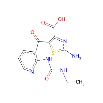 CCNC(=O)Nc1ncccc1C(=O)c1sc(N)nc1C(=O)O